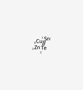 [Cu].[Sn]=[Te].[Zn]